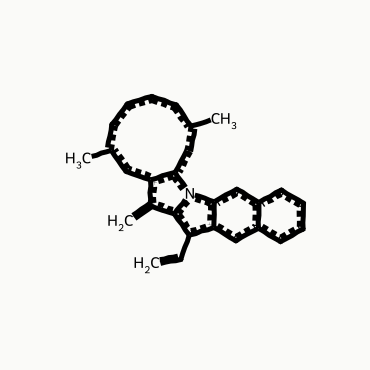 C=Cc1c2cc3ccccc3cc2n2c1c(=C)c1cc(C)ccccc(C)cc12